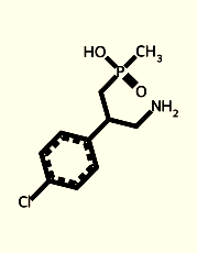 CP(=O)(O)CC(CN)c1ccc(Cl)cc1